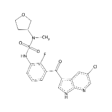 CN(C1CCOC1)S(=O)(=O)Nc1cccc(C(=O)c2c[nH]c3ncc(Cl)cc23)c1F